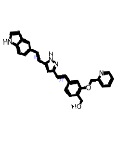 OCc1ccc(/C=C/c2cc(/C=C/c3ccc4[nH]ccc4c3)[nH]n2)cc1OCc1ccccn1